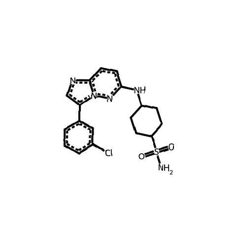 NS(=O)(=O)C1CCC(Nc2ccc3ncc(-c4cccc(Cl)c4)n3n2)CC1